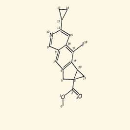 COC(=O)C12Cc3cc4cnc(C5CC5)cc4c(I)c3C1C2